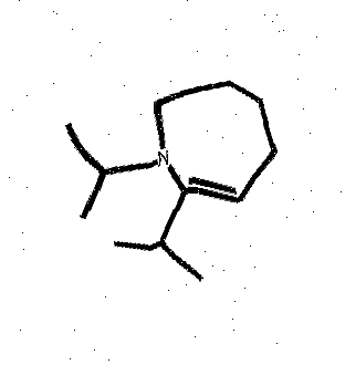 CC(C)C1=CCCCCN1C(C)C